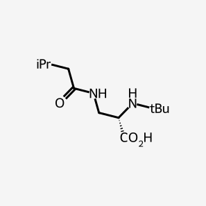 CC(C)CC(=O)NC[C@H](NC(C)(C)C)C(=O)O